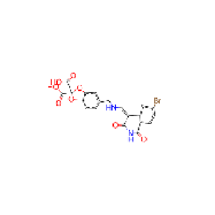 O=C1NC(=O)c2ccc(Br)cc2C1=CNCc1ccc2c(c1)OC(C(=O)O)(C(=O)O)O2